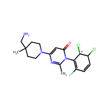 Cc1nc(N2CCC(C)(CN)CC2)cc(=O)n1C1=C(F)C=CC(Cl)[C@@H]1Cl